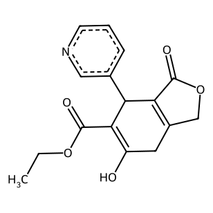 CCOC(=O)C1=C(O)CC2=C(C(=O)OC2)C1c1cccnc1